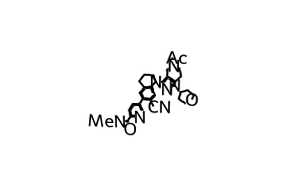 CNC(=O)c1ccc(-c2cc3c(cc2C#N)N(c2nn(C4CCOCC4)c4c2CN(C(C)=O)CC4)CCC3)cn1